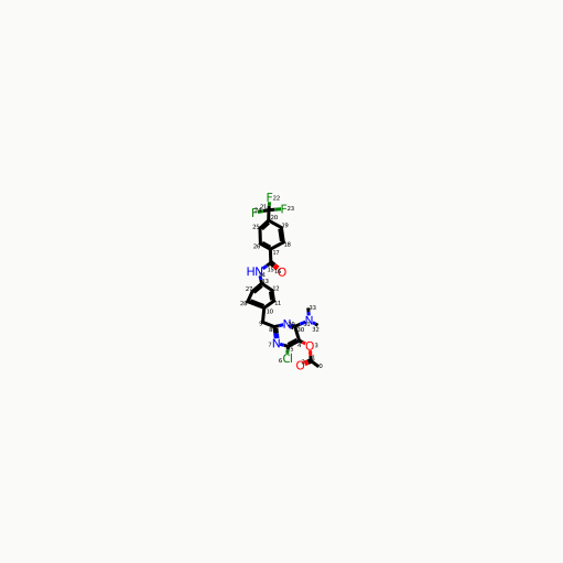 CC(=O)Oc1c(Cl)nc(Cc2ccc(NC(=O)c3ccc(C(F)(F)F)cc3)cc2)nc1N(C)C